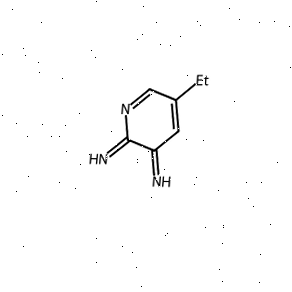 CCC1=CC(=N)C(=N)N=C1